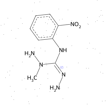 CN(N)/C(=N\N)Nc1ccccc1[N+](=O)[O-]